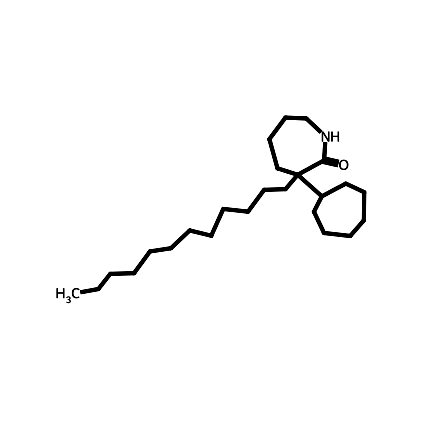 CCCCCCCCCCCCC1(C2CCCCCC2)CCCCNC1=O